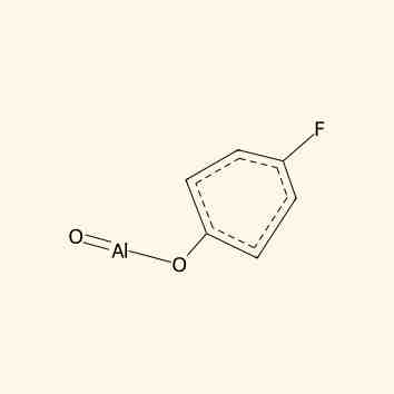 [O]=[Al][O]c1ccc(F)cc1